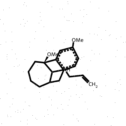 C=CCNC1C2CCCC[C@]1(OC)c1cc(OC)ccc1C2